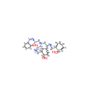 Oc1ccccc1/C=N\CCN(CC/N=C\c1ccccc1O)CC/N=C/C1=CC=CC#CC1O